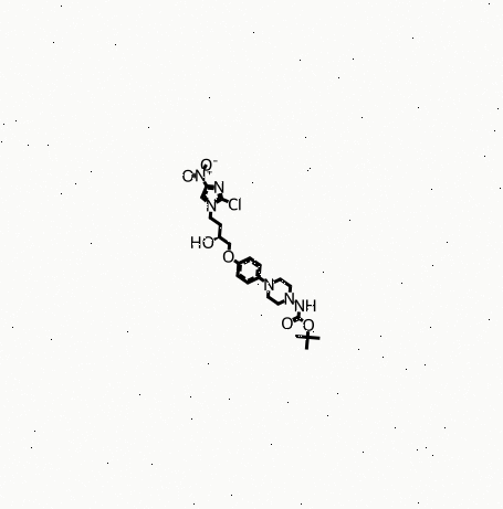 CC(C)(C)OC(=O)NN1CCN(c2ccc(OC[C@@H](O)CCn3cc([N+](=O)[O-])nc3Cl)cc2)CC1